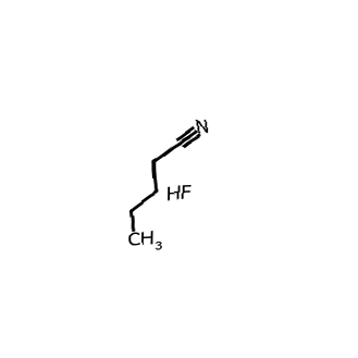 CCCCC#N.F